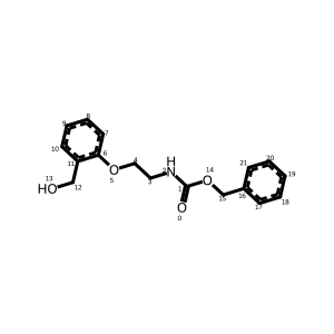 O=C(NCCOc1ccccc1CO)OCc1ccccc1